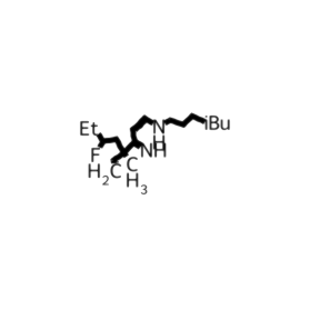 C=CC(C)(CC(F)CC)C(=N)/C=C\NCCCC(C)CC